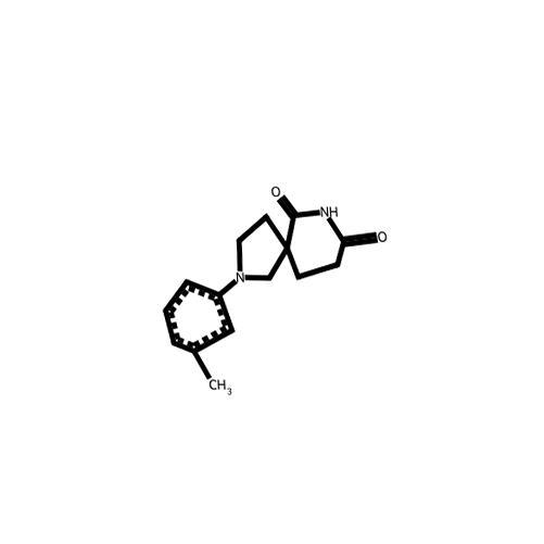 Cc1cccc(N2CCC3(CCC(=O)NC3=O)C2)c1